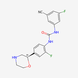 N#Cc1cc(F)cc(NC(=O)Nc2ccc([C@@H]3CNCCO3)cc2F)c1